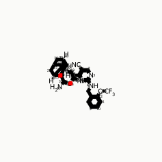 N#Cc1cnc(NCc2ccccc2OC(F)(F)F)nc1NC[C@@]12CC3C[C@H](C1)[C@@H](N(CC(N)=O)CC(N)=O)[C@@H](C3)C2